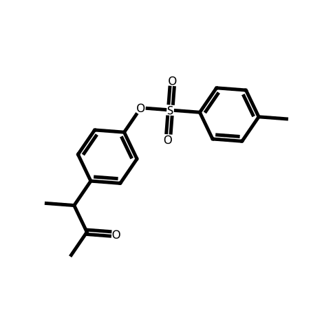 CC(=O)C(C)c1ccc(OS(=O)(=O)c2ccc(C)cc2)cc1